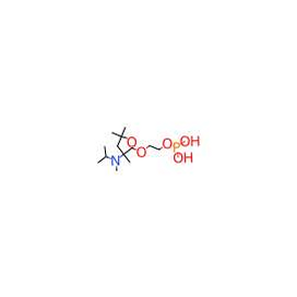 CC(C)N(C)C(C)(CC(C)(C)C)C(=O)OCCOP(O)O